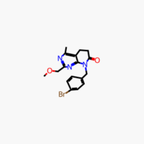 COCc1nc(C)c2c(n1)N(Cc1ccc(Br)cc1)C(=O)CC2